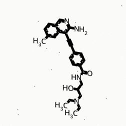 CCN(CC)CC(O)CNC(=O)c1ccc(C#Cc2c(N)ncc3ccc(C)cc23)cc1